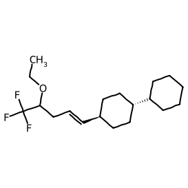 CCOC(CC=C[C@H]1CC[C@H](C2CCCCC2)CC1)C(F)(F)F